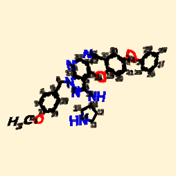 COc1ccc(Cn2nc(N[C@@H]3CCNC3)c3c(Oc4ccc(Oc5ccccc5)cc4C#N)ccnc32)cc1